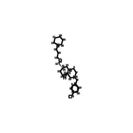 Clc1ccc(CN2CCN3C[C@@H](COCCCN4CCCCC4)CC[C@H]3C2)cc1